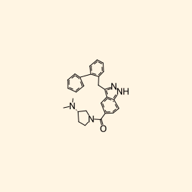 CN(C)[C@H]1CCN(C(=O)c2ccc3[nH]nc(Cc4ccccc4-c4ccccc4)c3c2)C1